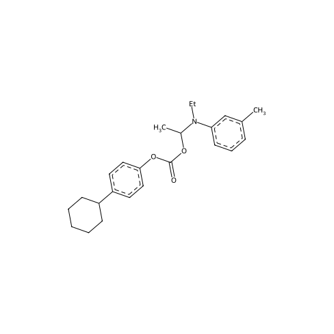 CCN(c1cccc(C)c1)C(C)OC(=O)Oc1ccc(C2CCCCC2)cc1